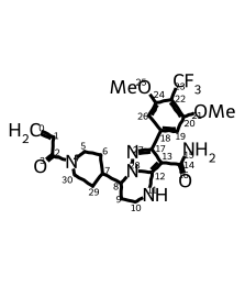 C=CC(=O)N1CCC(C2CCNc3c(C(N)=O)c(-c4cc(OC)c(C(F)(F)F)c(OC)c4)nn32)CC1